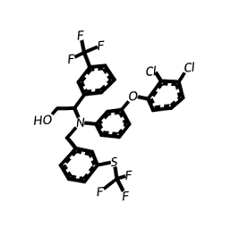 OCC(c1cccc(C(F)(F)F)c1)N(Cc1cccc(SC(F)(F)F)c1)c1cccc(Oc2cccc(Cl)c2Cl)c1